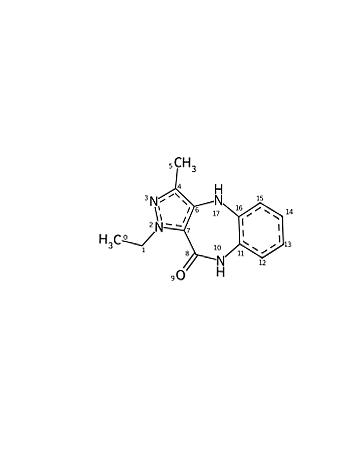 CCn1nc(C)c2c1C(=O)Nc1ccccc1N2